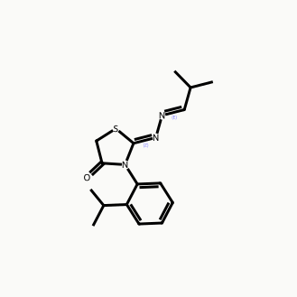 CC(C)/C=N/N=C1\SCC(=O)N1c1ccccc1C(C)C